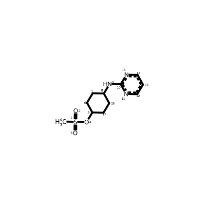 CS(=O)(=O)OC1CCC(Nc2ncccn2)CC1